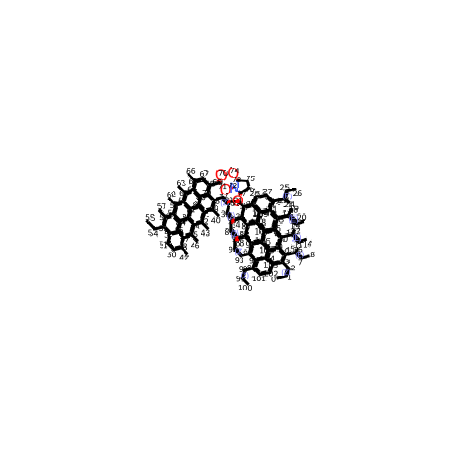 C/C=C\c1c(/C(C)=C/C)c2c(/C(C)=C/C)c3c(/C(C)=C/C)c4c(/C(C)=C/C)ccc5c(CC)c(/C=C\C=C/c6c(C)c7c(C)c8c(C)c9c(C)ccc%10c(CC)c(C)c%11c(C)c%12c(C)c%13c(C)cc(C(=O)ON%14C(=O)CCC%14=O)c6c%13c7c%12c8c%11c%109)c6c(/C=C\C)c7c(/C=C\C)c8c(/C=C\C)ccc1c8c2c7c3c6c54